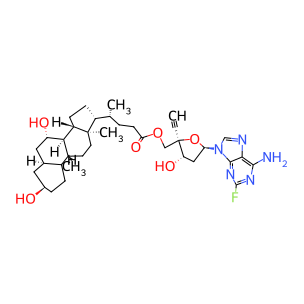 C#C[C@]1(COC(=O)CC[C@@H](C)[C@H]2CC[C@H]3[C@@H]4[C@@H](O)C[C@@H]5C[C@H](O)CC[C@]5(C)[C@H]4CC[C@]23C)O[C@@H](n2cnc3c(N)nc(F)nc32)C[C@@H]1O